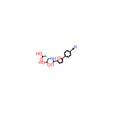 N#Cc1ccc(-c2ccc(C(=O)N[C@@H](CC(=O)O)C(=O)O)o2)cc1